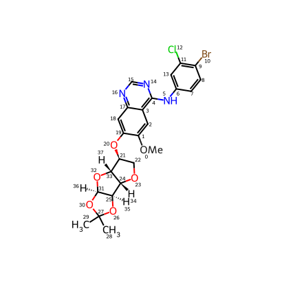 COc1cc2c(Nc3ccc(Br)c(Cl)c3)ncnc2cc1O[C@H]1CO[C@@H]2[C@H]3OC(C)(C)O[C@H]3O[C@@H]21